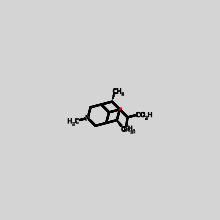 CC(CC1C2CN(C)CC1[C@H](C)C[C@H]2C)C(=O)O